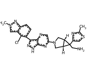 Cc1nc(C2(CN)[C@@H]3CN(c4cnc5c(-c6ccc7nn(C)cc7c6Cl)n[nH]c5n4)C[C@@H]32)cs1